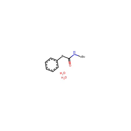 CCCCNC(=O)[B]c1ccccc1.O.O